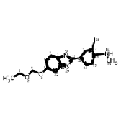 CCOCOc1ccc2nc(-c3ccc(NC)c(I)c3)sc2c1